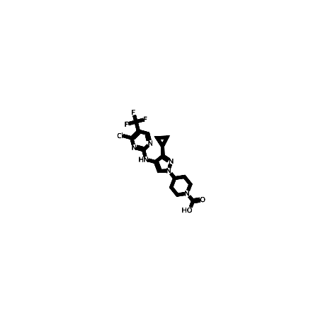 O=C(O)N1CCC(n2cc(Nc3ncc(C(F)(F)F)c(Cl)n3)c(C3CC3)n2)CC1